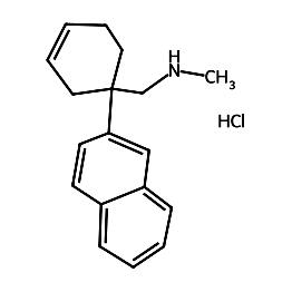 CNCC1(c2ccc3ccccc3c2)CC=CCC1.Cl